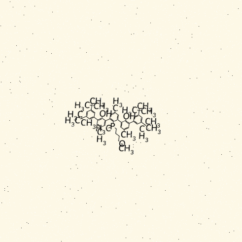 COCCCCP(C)c1c(-c2cc(C)cc(-c3cc(C(C)(C)C)cc(C(C)(C)C)c3)c2O)cc(C)cc1-c1cc(C)cc(-c2cc(C(C)(C)C)cc(C(C)(C)C)c2)c1O